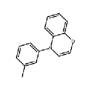 Cc1cccc(N2C=COc3ccccc32)c1